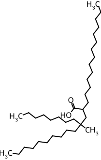 CCCCCCCCCCCCCCC(CC(C)(CCCCCCCC)CCCCCCCCCC)C(=O)O